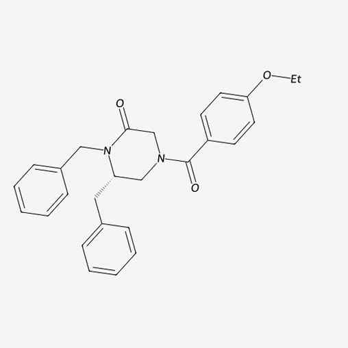 CCOc1ccc(C(=O)N2CC(=O)N(Cc3ccccc3)[C@@H](Cc3ccccc3)C2)cc1